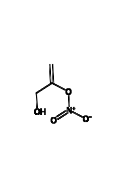 C=C(CO)O[N+](=O)[O-]